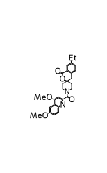 CCc1ccc2c(c1)C(=O)OC1(CCN(C(=O)c3cc(OC)c4cc(OC)ccc4n3)CC1)C2